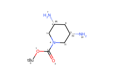 CC(C)(C)OC(=O)N1C[C@H](N)C[C@H](N)C1